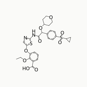 CCOc1c(Oc2cnc(NC(=O)C(OC3CCOCC3)c3ccc(S(=O)(=O)C4CC4)cc3)s2)cccc1C(=O)O